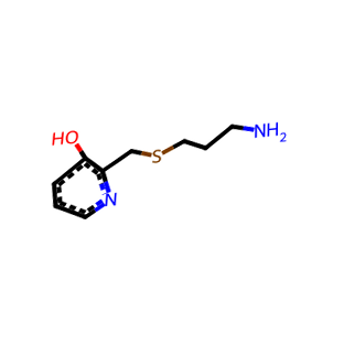 NCCCSCc1ncccc1O